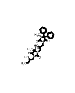 CCC(O)CN1C(=O)N(CC(O)CN2C(=O)N(C)C(c3ccccc3)(c3ccccc3)C2=O)C(C)(C)C1=O